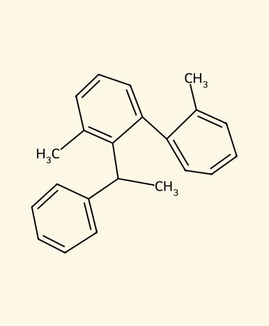 Cc1ccccc1-c1cccc(C)c1C(C)c1ccccc1